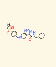 CS(=O)(=O)c1ccc(CN2CCc3c(ncnc3C(=O)NCC3CCCCC3)C2)cc1